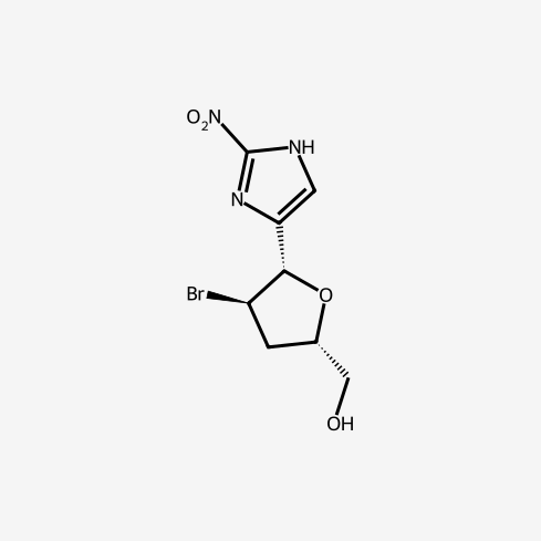 O=[N+]([O-])c1nc([C@@H]2O[C@H](CO)C[C@H]2Br)c[nH]1